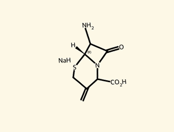 C=C1CS[C@@H]2C(N)C(=O)N2C1C(=O)O.[NaH]